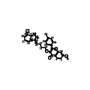 COc1ccc2c(=O)c(OCCCSc3nnc4c(Cl)cccn34)c(-c3ccc(C)cc3)oc2c1